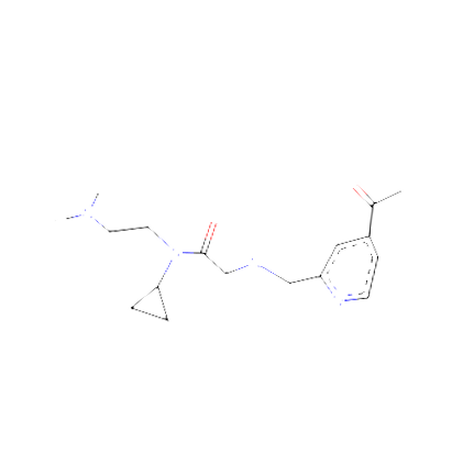 CC(=O)c1ccnc(CNCC(=O)N(CCN(C)C)C2CC2)c1